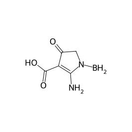 BN1CC(=O)C(C(=O)O)=C1N